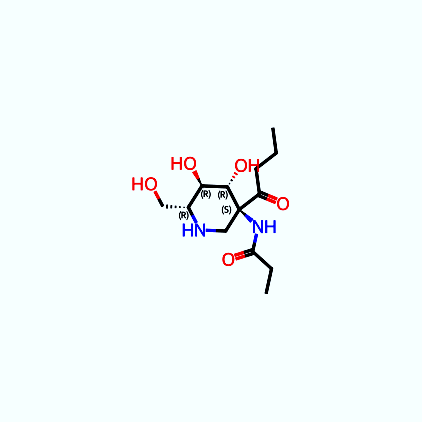 CCCC(=O)[C@]1(NC(=O)CC)CN[C@H](CO)[C@@H](O)[C@@H]1O